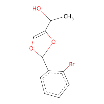 CC(O)C1=COC(c2ccccc2Br)O1